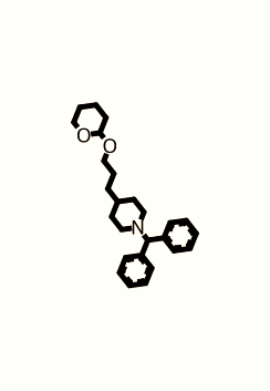 c1ccc(C(c2ccccc2)N2CCC(CCCOC3CCCCO3)CC2)cc1